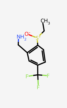 CC[S+]([O-])c1ccc(C(F)(F)F)cc1CN